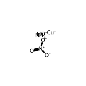 O=[N+]([O-])[O-].[Cu+].[NH4+].[OH-]